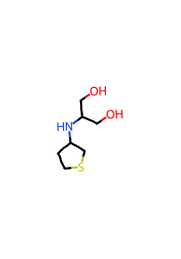 OCC(CO)NC1CCSC1